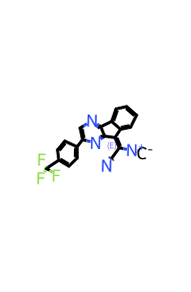 [C-]#[N+]/C(C#N)=C1\c2ccccc2-c2ncc(-c3ccc(C(F)(F)F)cc3)nc21